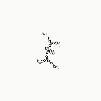 CCCc1ccc(-c2ccc(N(c3ccc(C)cc3)c3ccc(-c4ccc5c(c4)C(C)(C)c4cc(-c6ccc(N(c7ccc(C)cc7)c7ccc(-c8ccc(CCC)cc8)cc7)cc6)c6ccccc6c4-5)cc3)cc2)cc1